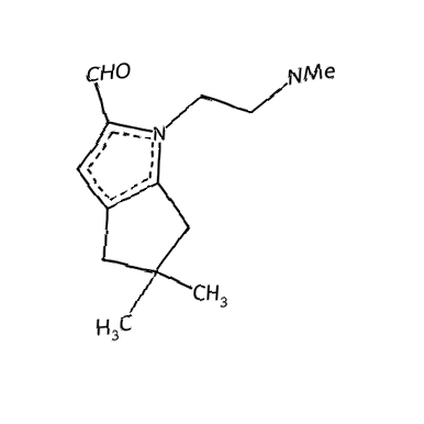 CNCCn1c(C=O)cc2c1CC(C)(C)C2